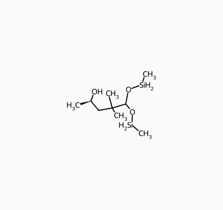 C[SiH2]OC(O[SiH2]C)C(C)(C)C[C@@H](C)O